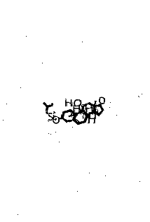 CC(C)C[Si](C)(C)OC1CC[C@@]2(C)C(=CC[C@@H]3[C@H]2C(O)C[C@]2(C)C(=O)CC[C@@H]32)C1